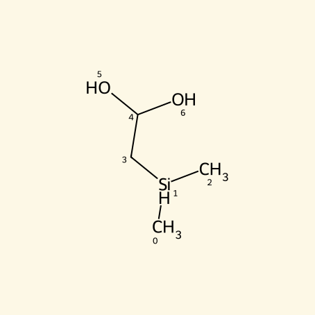 C[SiH](C)CC(O)O